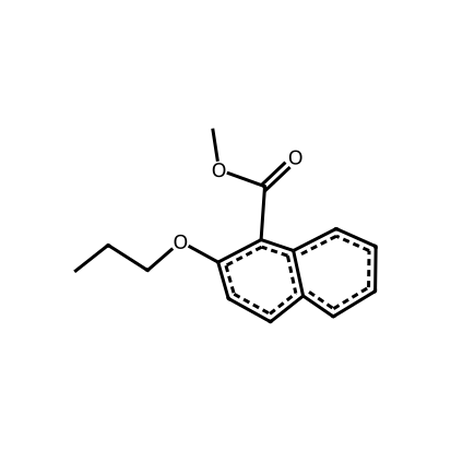 CCCOc1ccc2ccccc2c1C(=O)OC